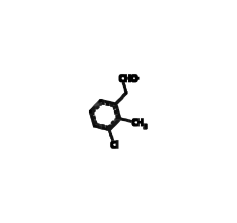 Cc1c(Cl)cccc1C[C]=O